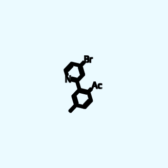 CC(=O)c1ccc(C)cc1-c1cc(Br)ccn1